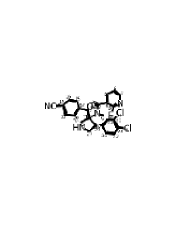 CN(C(=O)c1cccnc1F)[C@]1(C(=O)c2ccc(C#N)cc2)CNC[C@H]1c1ccc(Cl)c(Cl)c1